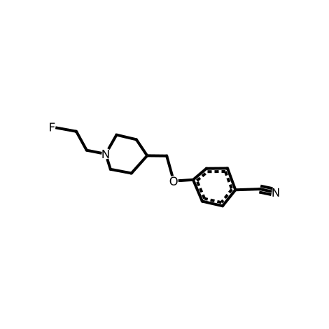 N#Cc1ccc(OCC2CCN(CCF)CC2)cc1